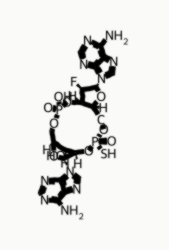 Nc1ncnc2c1ncn2[C@@H]1O[C@@H]2COP(=O)(S)O[C@@H]3[C@H](O)[C@@H](COP(=O)(O)O[C@H]2[C@H]1F)O[C@H]3n1cnc2c(N)ncnc21